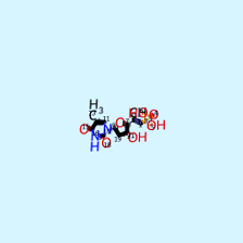 C/C(=C\P(=O)(O)O)[C@H]1O[C@@H](n2cc(C)c(=O)[nH]c2=O)CC1O